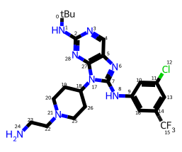 CC(C)(C)Nc1ncc2nc(Nc3cc(Cl)cc(C(F)(F)F)c3)n(C3CCN(CCN)CC3)c2n1